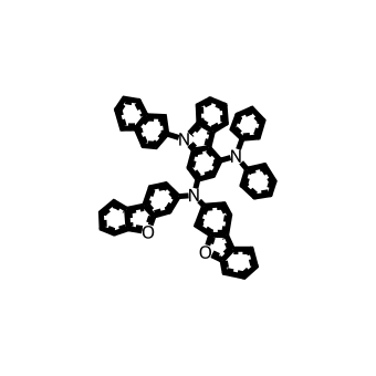 c1ccc(N(c2ccccc2)c2cc(N(c3ccc4c(c3)oc3ccccc34)c3ccc4c(c3)oc3ccccc34)cc3c2c2ccccc2n3-c2ccc3ccccc3c2)cc1